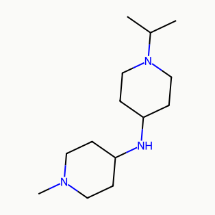 CC(C)N1CCC(NC2CCN(C)CC2)CC1